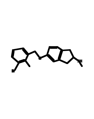 CNC1Cc2ccc(OCc3cccc(Br)c3C)cc2C1